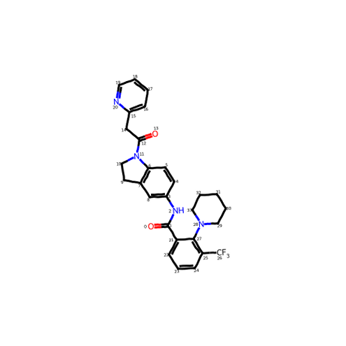 O=C(Nc1ccc2c(c1)CCN2C(=O)Cc1ccccn1)c1cccc(C(F)(F)F)c1N1CCCCC1